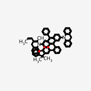 C/C=C\C1=C(C)N(c2ccc3c(-c4ccccc4-c4ccc5c(c4)C(C)(C)c4ccccc4-5)c4cc(N5c6ccccc6Cc6ccccc65)ccc4c(-c4ccccc4)c3c2)c2ccccc2C1